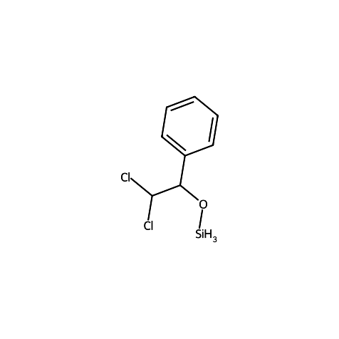 [SiH3]OC(c1ccccc1)C(Cl)Cl